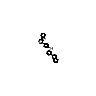 c1cc(Nc2ccc(-c3cncc4c3oc3ccccc34)cc2)cc(-c2ccc3ccccc3c2)c1